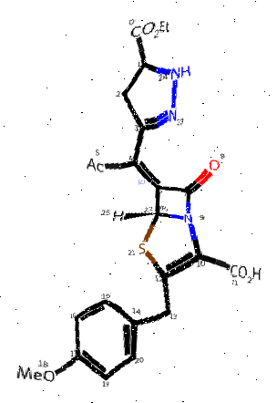 CCOC(=O)C1CC(/C(C(C)=O)=C2\C(=O)N3C(C(=O)O)=C(Cc4ccc(OC)cc4)S[C@H]23)=NN1